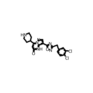 O=c1cc(C2CCNCC2)n2ncc(-c3nc(Cc4ccc(Cl)c(Cl)c4)no3)c2[nH]1